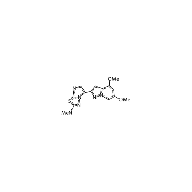 CNc1nn2c(-c3cc4c(OC)cc(OC)cn4n3)cnc2s1